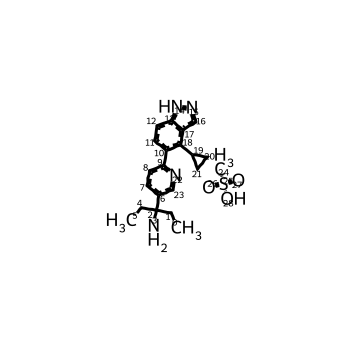 CCC(N)(CC)c1ccc(-c2ccc3[nH]ncc3c2C2CC2)nc1.CS(=O)(=O)O